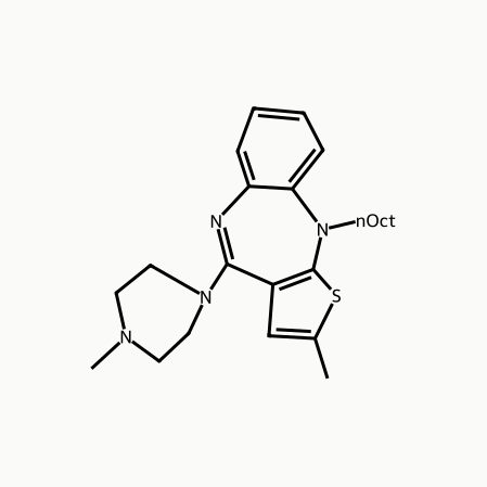 CCCCCCCCN1c2ccccc2N=C(N2CCN(C)CC2)c2cc(C)sc21